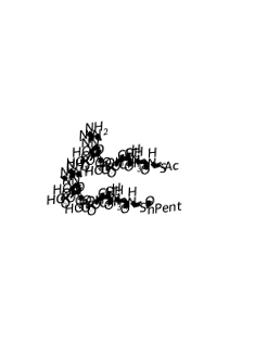 CC(=O)SCCNC(=O)CCNC(=O)C(O)C(C)(C)COP(=O)(O)OP(=O)(O)OC[C@H]1O[C@@H](n2cnc3c(N)ncnc32)[C@H](O)[C@@H]1OP(=O)(O)O.CCCCCC(=O)SCCNC(=O)CCNC(=O)C(O)C(C)(C)COP(=O)(O)OP(=O)(O)OC[C@H]1O[C@@H](n2cnc3c(N)ncnc32)[C@H](O)[C@@H]1OP(=O)(O)O